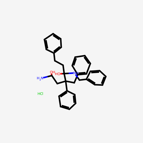 Cl.NC(O)CC(Cc1ccccc1)(c1ccccc1)C(O)(CCc1ccccc1)NCc1ccccc1